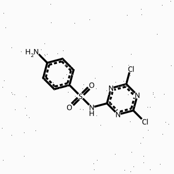 Nc1ccc(S(=O)(=O)Nc2nc(Cl)nc(Cl)n2)cc1